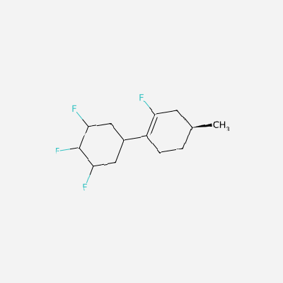 C[C@H]1CCC(C2CC(F)C(F)C(F)C2)=C(F)C1